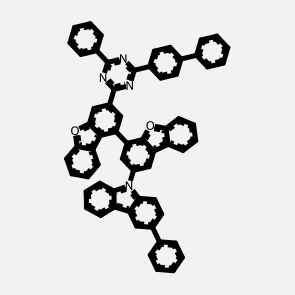 c1ccc(-c2ccc(-c3nc(-c4ccccc4)nc(-c4cc(-c5cc(-n6c7ccccc7c7cc(-c8ccccc8)ccc76)cc6c5oc5ccccc56)c5c(c4)oc4ccccc45)n3)cc2)cc1